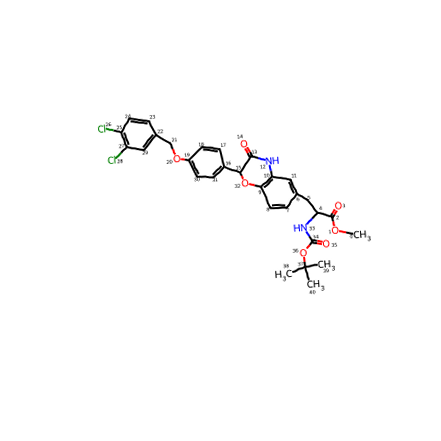 COC(=O)C(Cc1ccc2c(c1)NC(=O)C(c1ccc(OCc3ccc(Cl)c(Cl)c3)cc1)O2)NC(=O)OC(C)(C)C